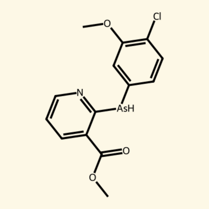 COC(=O)c1cccnc1[AsH]c1ccc(Cl)c(OC)c1